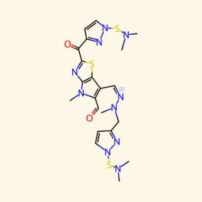 CN(Cc1ccn(SN(C)C)n1)/N=C\c1c(C=O)n(C)c2nc(C(=O)c3ccn(SN(C)C)n3)sc12